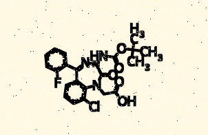 CC(C)(C)OC(=O)N[C@H]1N=C(c2ccccc2F)c2cccc(Cl)c2N(CC(=O)O)C1=O